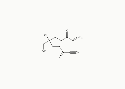 C#CC(=O)CCC(CC)(CO)CCC(=O)C=C